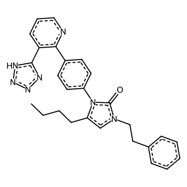 CCCCc1cn(CCc2ccccc2)c(=O)n1-c1ccc(-c2ncccc2-c2nnn[nH]2)cc1